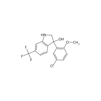 COc1ccc(Cl)cc1C1(O)CNc2cc(C(F)(F)F)ccc21